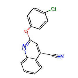 N#Cc1cc(Oc2ccc(Cl)cc2)nc2ccccc12